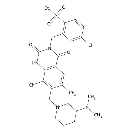 CCS(=O)(=O)c1ccc(Cl)cc1Cn1c(=O)[nH]c2c(Cl)c(CN3CCCC(N(C)C)C3)c(C(F)(F)F)cc2c1=O